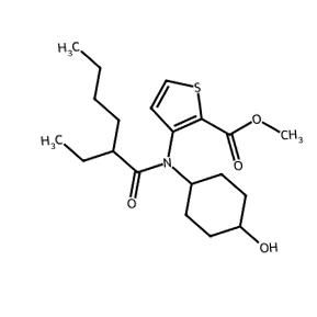 CCCCC(CC)C(=O)N(c1ccsc1C(=O)OC)C1CCC(O)CC1